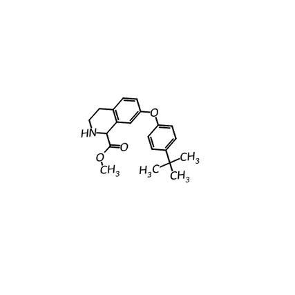 COC(=O)C1NCCc2ccc(Oc3ccc(C(C)(C)C)cc3)cc21